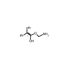 CCC/C(=C(/O)OCN)C(C)C